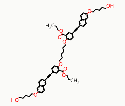 CCCOC(=O)c1cc(C#Cc2ccc3cc(OCCCCCO)ccc3c2)ccc1OCCCCCCOc1ccc(C#Cc2ccc3cc(OCCCCCO)ccc3c2)cc1C(=O)OCCC